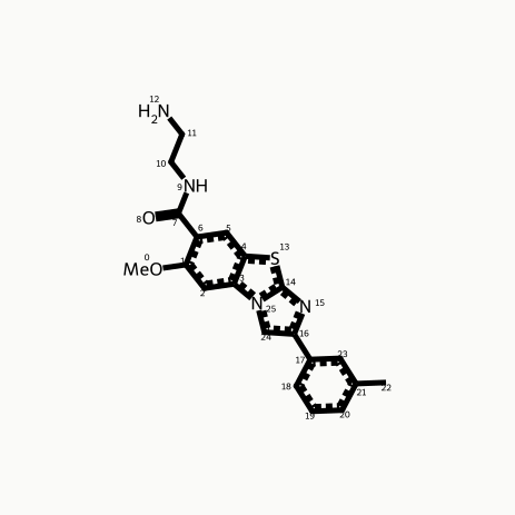 COc1cc2c(cc1C(=O)NCCN)sc1nc(-c3cccc(C)c3)cn12